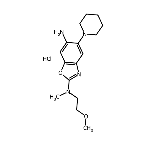 COCCN(C)c1nc2cc(N3CCCCC3)c(N)cc2o1.Cl